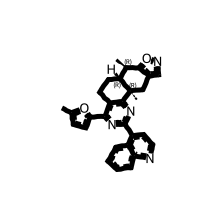 Cc1ccc(-c2nc(-c3ccnc4ccccc34)nc3c2CC[C@@H]2[C@@H](C)c4oncc4C[C@@]32C)o1